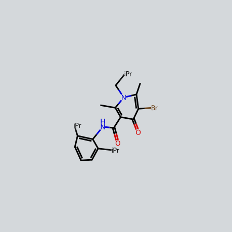 Cc1c(Br)c(=O)c(C(=O)Nc2c(C(C)C)cccc2C(C)C)c(C)n1CC(C)C